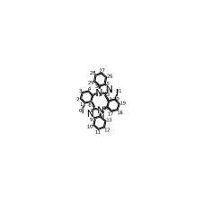 Ic1cccc2c1c1nc3ccccc3n1c1cccc(I)c1c1nc3ccccc3n21